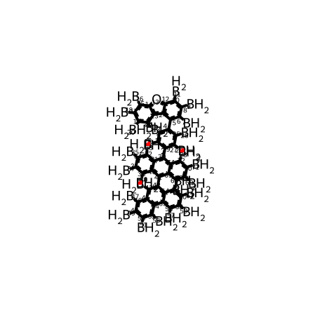 Bc1c(B)c(-c2c(B)c(B)c(B)c3oc4c(B)c(B)c(B)c(B)c4c23)c(B)c(B)c1-c1c2c(B)c(B)c(B)c(B)c2c(-c2c(B)c3c(B)c(B)c(B)c(B)c3c3c(B)c(B)c(B)c(B)c23)c2c(B)c(B)c(B)c(B)c12